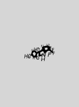 O=C1Nc2c(C(F)(F)F)cccc2C1(O)c1ccc(O)cc1